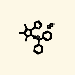 CC1=C(C)C(C)[C]([Zr+2]=[C](c2ccccc2)c2ccccc2)=C1C1=CC=CC1.[Cl-].[Cl-]